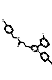 N#Cc1ccc(-n2nc(CCC(=O)NCc3ccc(Cl)cc3)cc2-c2cccc(F)c2)cc1